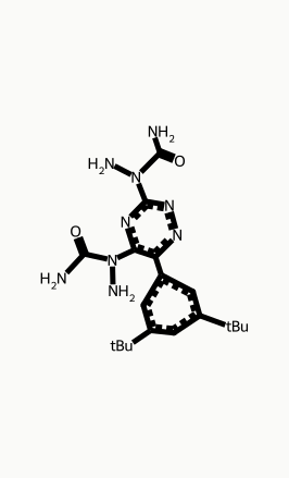 CC(C)(C)c1cc(-c2nnc(N(N)C(N)=O)nc2N(N)C(N)=O)cc(C(C)(C)C)c1